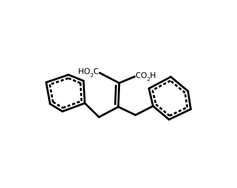 O=C(O)C(C(=O)O)=C(Cc1ccccc1)Cc1ccccc1